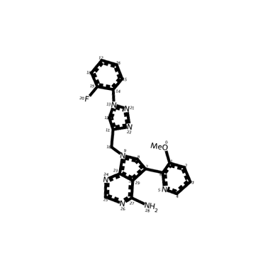 COc1cccnc1-c1cn(Cc2cn(-c3ccccc3F)nn2)c2ncnc(N)c12